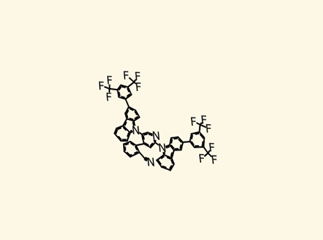 N#Cc1ccccc1-c1cc(-n2c3ccccc3c3cc(-c4cc(C(F)(F)F)cc(C(F)(F)F)c4)ccc32)ncc1-n1c2ccccc2c2cc(-c3cc(C(F)(F)F)cc(C(F)(F)F)c3)ccc21